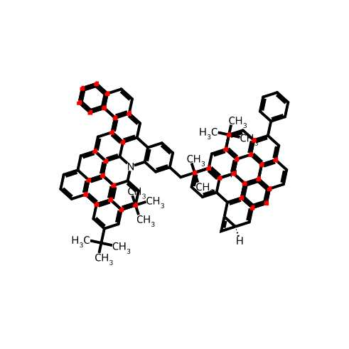 CC(C)(C)c1cc(-c2cccc3cccc(-c4ccccc4N(c4cc(CC(C)(C)c5cc(-c6cccc7cccc(-c8ccccc8N(c8ccccc8C8=CC=C[C@H]9C=C89)c8ccccc8-c8ccc(-c9ccccc9)cc8)c67)cc(C(C)(C)C)c5)ccc4-c4ccc(-c5ccccc5)cc4)c4cc(-c5cccc6ccccc56)ccc4-c4ccccc4)c23)cc(C(C)(C)C)c1